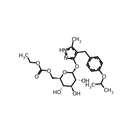 CCOC(=O)OC[C@H]1O[C@@H](Oc2n[nH]c(C)c2Cc2ccc(OC(C)C)cc2)[C@H](O)[C@@H](O)[C@@H]1O